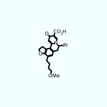 COCCCCc1cc2c(c3c1OCC3)-c1cc(=O)c(C(=O)O)cn1C(C(C)C)C2